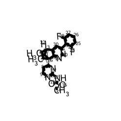 CC1(C)[C@H]2CC[C@]1(c1ccnc(NS(C)(=O)=O)n1)c1nnc(-c3c(F)cccc3F)cc12